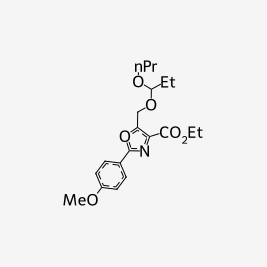 CCCOC(CC)OCc1oc(-c2ccc(OC)cc2)nc1C(=O)OCC